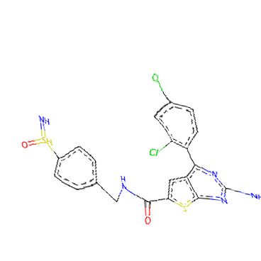 N=[SH](=O)c1ccc(CNC(=O)c2cc3c(-c4ccc(Cl)cc4Cl)nc(N)nc3s2)cc1